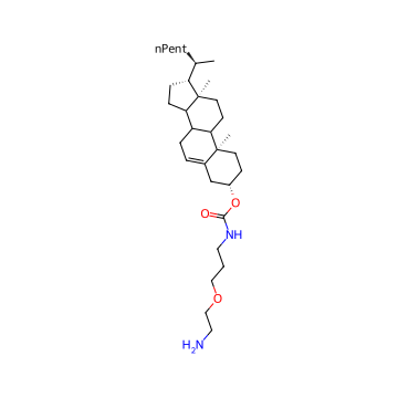 CCCCC[C@@H](C)[C@H]1CCC2C3CC=C4C[C@@H](OC(=O)NCCCOCCN)CC[C@]4(C)C3CC[C@@]21C